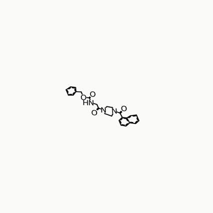 O=C(NCC(=O)N1CCN(C(=O)c2cccc3ccccc23)CC1)OCc1ccccc1